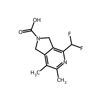 Cc1nc(C(F)F)c2c(c1C)CN(C(=O)O)C2